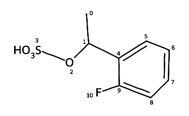 CC(OS(=O)(=O)O)c1ccccc1F